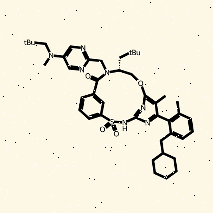 Cc1cccc(CC2CCCCC2)c1-c1nc2nc(c1C)OC[C@@H](CC(C)(C)C)N(Cc1ncc(N(C)CC(C)(C)C)cn1)C(=O)c1cccc(c1)S(=O)(=O)N2